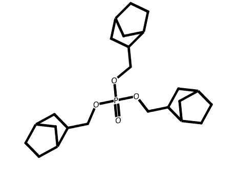 O=P(OCC1CC2CCC1C2)(OCC1CC2CCC1C2)OCC1CC2CCC1C2